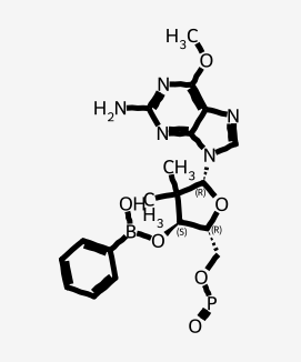 COc1nc(N)nc2c1ncn2[C@@H]1O[C@H](COP=O)[C@@H](OB(O)c2ccccc2)C1(C)C